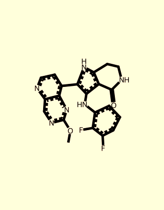 COc1ncc2nccc(-c3[nH]c4c(c3Nc3cccc(F)c3F)C(=O)NCC4)c2n1